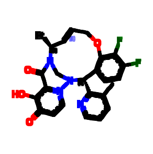 CC[C@H]1/C=C/COc2c(ccc(F)c2F)[C@H](c2ncccc2C)N2CN1C(=O)c1c(O)c(=O)ccn12